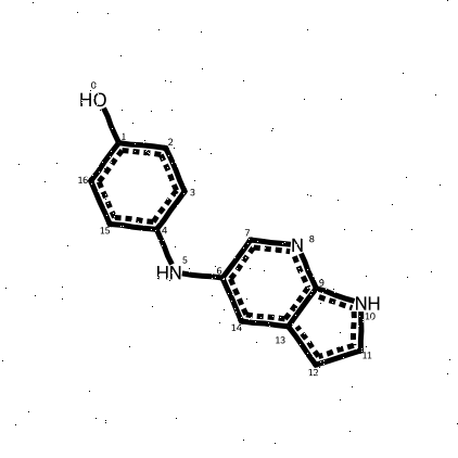 Oc1ccc(Nc2cnc3[nH]ccc3c2)cc1